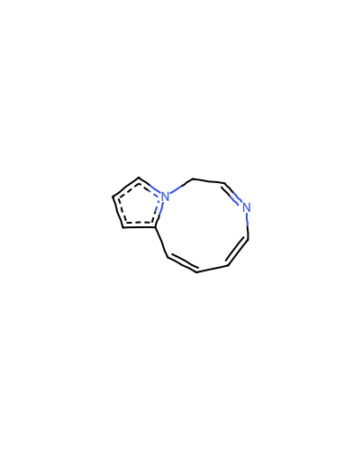 C1=CN=CCn2cccc2C=C1